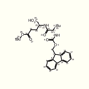 CC[C@H](C)[C@H](NC(=O)OCC1c2ccccc2-c2ccccc21)C(=O)N[C@@H](CCC(=O)OC(C)(C)C)C(=O)O